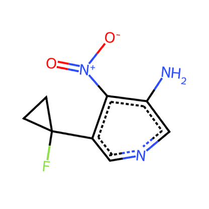 Nc1cncc(C2(F)CC2)c1[N+](=O)[O-]